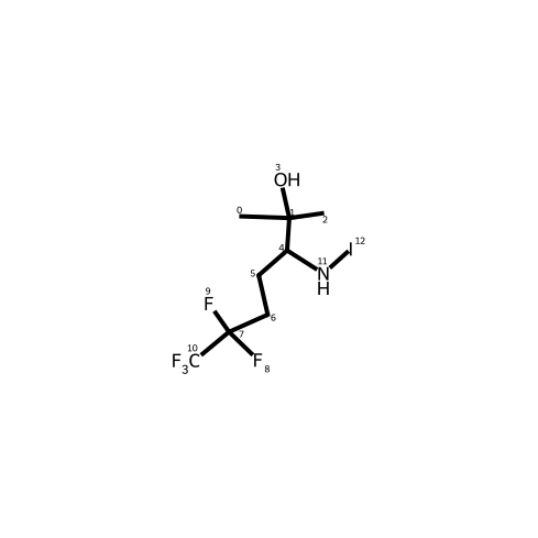 CC(C)(O)C(CCC(F)(F)C(F)(F)F)NI